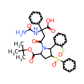 CC(C)(C)OC(=O)C1CC(S(=O)(=O)c2ccccc2)C(c2ccccc2F)N1C(=O)CC(NC(N)=O)(C(=O)O)c1ccccc1